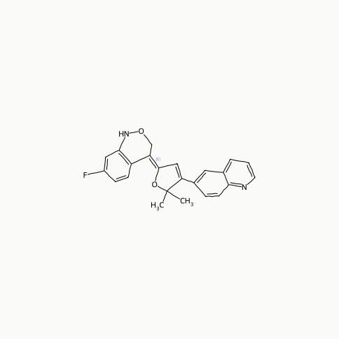 CC1(C)O/C(=C2/CONc3cc(F)ccc32)C=C1c1ccc2ncccc2c1